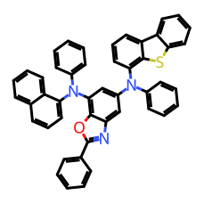 c1ccc(-c2nc3cc(N(c4ccccc4)c4cccc5c4sc4ccccc45)cc(N(c4ccccc4)c4cccc5ccccc45)c3o2)cc1